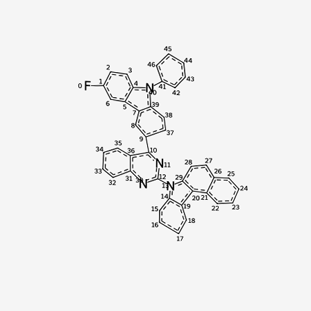 Fc1ccc2c(c1)c1cc(-c3nc(-n4c5ccccc5c5c6ccccc6ccc54)nc4ccccc34)ccc1n2-c1ccccc1